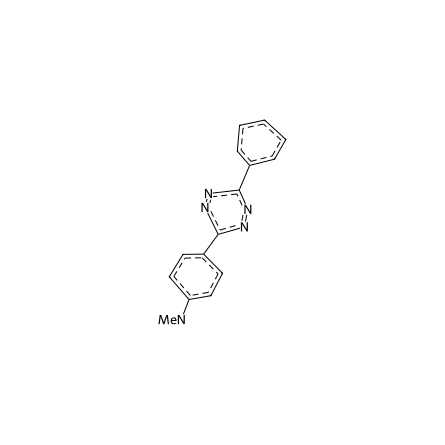 [11CH3]Nc1ccc(-c2nnc(-c3ccccc3)nn2)cc1